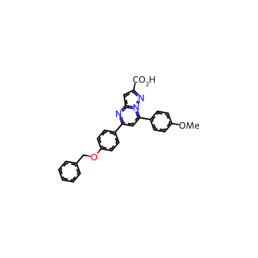 COc1ccc(-c2cc(-c3ccc(OCc4ccccc4)cc3)nc3cc(C(=O)O)nn23)cc1